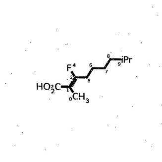 CC(C(=O)O)=C(F)CCCCC(C)C